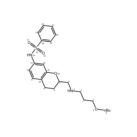 CCCCOCCCNCC1CCc2ccc(NS(=O)(=O)c3ccccc3)cc2O1